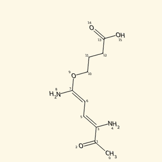 CC(=O)/C(N)=C/C=C(\N)OCCCC(=O)O